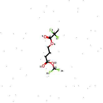 CC(F)(F)C(=O)OCCCC(=O)OC(F)F